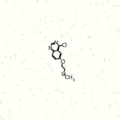 COCCOc1ccc2ncnc(Cl)c2c1